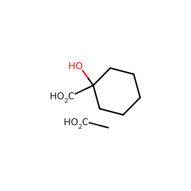 CC(=O)O.O=C(O)C1(O)CCCCC1